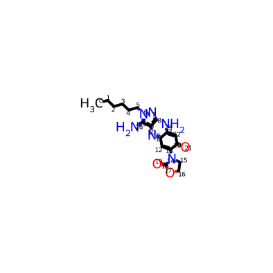 CCCCCCn1ncc(/N=C2/C=C(N3CCOC3=O)C(=O)C=C2N)c1N